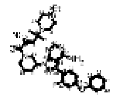 CCN1CCN(C(C)(C)C=C(C#N)C(=O)N2CCCC(n3nc(-c4ccc(Oc5ccccc5)cc4F)c4c(N)ncnc43)C2)CC1